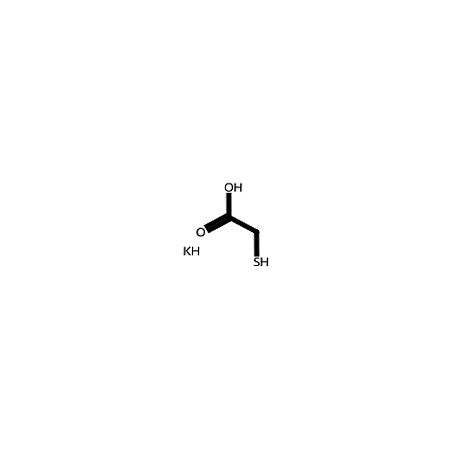 O=C(O)CS.[KH]